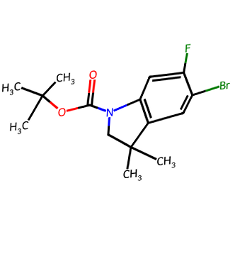 CC(C)(C)OC(=O)N1CC(C)(C)c2cc(Br)c(F)cc21